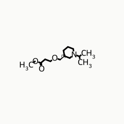 COC(=O)CCOC[C@H]1CCCN(C(C)C)C1